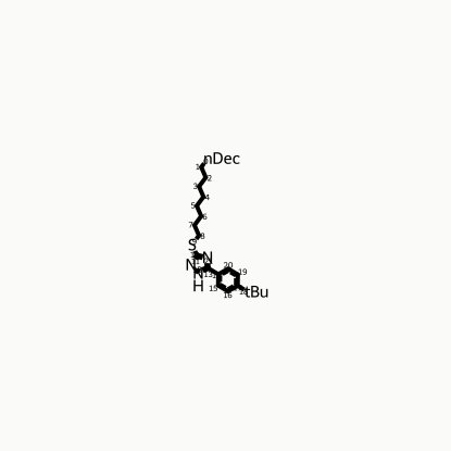 CCCCCCCCCCCCCCCCCCSc1n[nH]c(-c2ccc(C(C)(C)C)cc2)n1